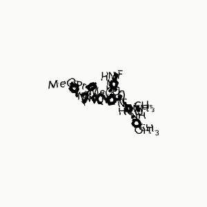 COc1ccc(CN2C[C@@H](c3ccccc3C(C)C)N(C3CC4(CCN(c5ccc(C(=O)NSc6cnc(NC[C@H]7CC[C@](C)(O)CC7)c([NH+](C)[O-])c6)c(Oc6cc7c(F)c[nH]c7nc6OC)c5)CC4)C3)C3CC32)cc1